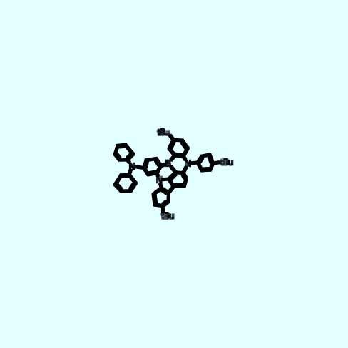 CC(C)(C)c1ccc(N2c3ccc(C(C)(C)C)cc3B3c4ccc(N(c5ccccc5)c5ccccc5)cc4-n4c5ccc(C(C)(C)C)cc5c5ccc2c3c54)cc1